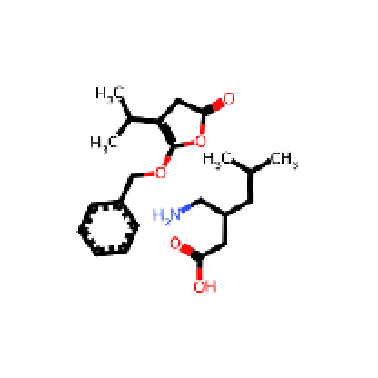 CC(C)C1=C(OCc2ccccc2)OC(=O)C1.CC(C)CC(CN)CC(=O)O